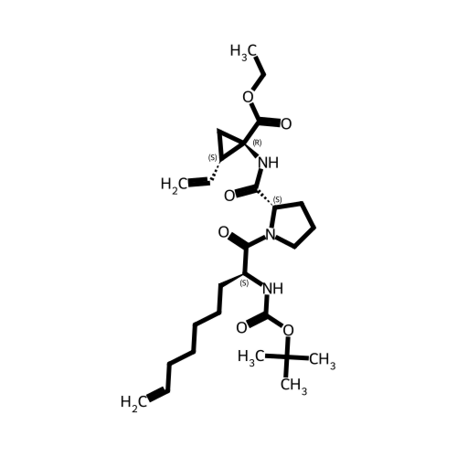 C=CCCCCC[C@H](NC(=O)OC(C)(C)C)C(=O)N1CCC[C@H]1C(=O)N[C@]1(C(=O)OCC)C[C@H]1C=C